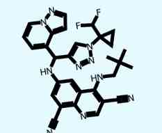 CC(C)(C)CNc1c(C#N)cnc2c(C#N)cc(NC(c3cn(C4(C(F)F)CC4)nn3)c3cccn4nccc34)cc12